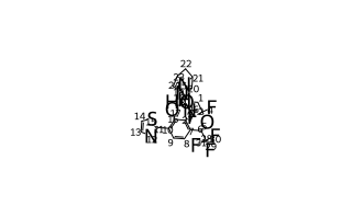 OCC(F)(F)OC(c1ccc(-c2nccs2)c2oc(N3CC4CC(C3)N4)nc12)C(F)(F)F